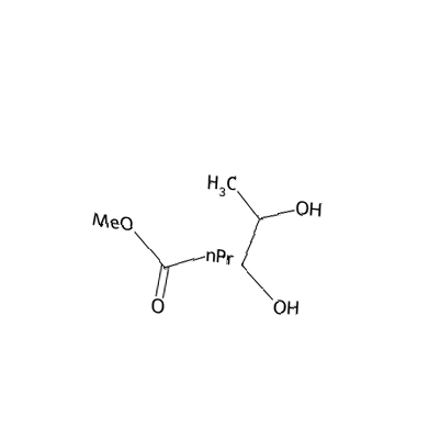 CC(O)CO.CCCC(=O)OC